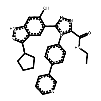 CCNC(=O)c1nnc(-c2cc3c(C4CCCC4)n[nH]c3cc2O)n1-c1ccc(-c2cccnc2)cc1